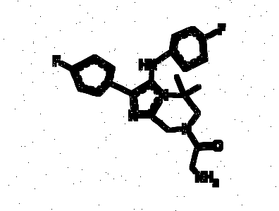 CC1(C)CN(C(=O)CN)Cc2nc(-c3ccc(F)cc3)c(Nc3ccc(F)cc3)n21